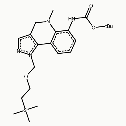 CN1Cc2cnn(COCC[Si](C)(C)C)c2-c2cccc(NC(=O)OC(C)(C)C)c21